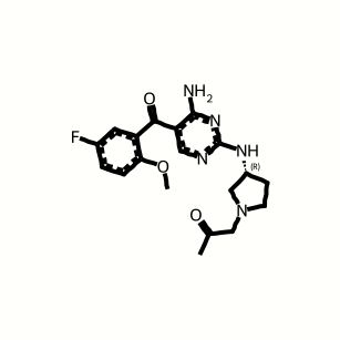 COc1ccc(F)cc1C(=O)c1cnc(N[C@@H]2CCN(CC(C)=O)C2)nc1N